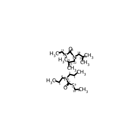 CCCN(CCC)C(=O)SCC.CCSC(=O)N(CC(C)C)CC(C)C